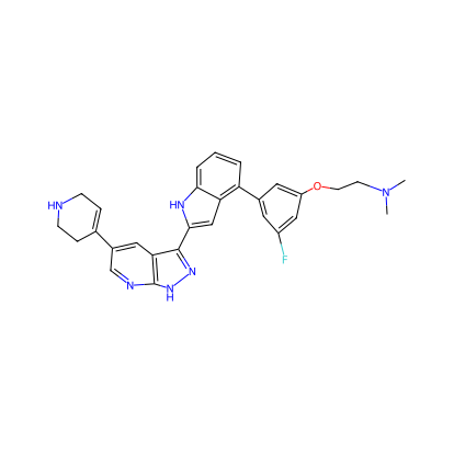 CN(C)CCOc1cc(F)cc(-c2cccc3[nH]c(-c4n[nH]c5ncc(C6=CCNCC6)cc45)cc23)c1